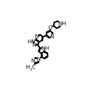 Cc1cn(-c2cccc3[nH]c(-c4n[nH]c5ncc(-c6cncc(OC7CCNCC7)c6)cc45)cc23)cn1